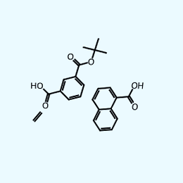 C=C.CC(C)(C)OC(=O)c1cccc(C(=O)O)c1.O=C(O)c1cccc2ccccc12